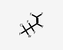 FC(F)=C(F)C(F)(F)C(F)(Cl)Br